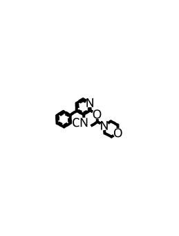 CC(Oc1nccc(-c2ccccc2)c1C#N)N1CCOCC1